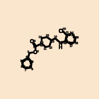 O=C(OCc1ccccc1)N1CCC(CNc2cccnc2Cl)CC1